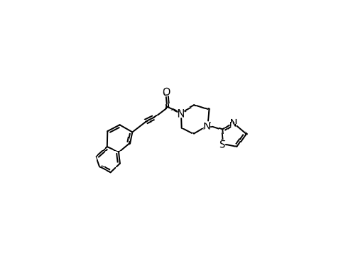 O=C(C#Cc1ccc2ccccc2c1)N1CCN(c2nccs2)CC1